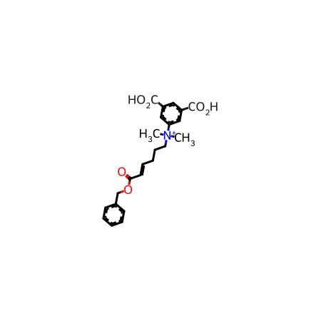 C[N+](C)(CCCC=CC(=O)OCc1ccccc1)c1cc(C(=O)O)cc(C(=O)O)c1